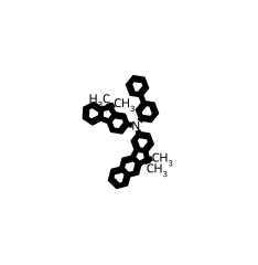 CC1(C)C2=CC(N(c3cccc(-c4ccccc4)c3)c3ccc4c(c3)-c3cc5ccccc5cc3C4(C)C)=CCC2c2ccccc21